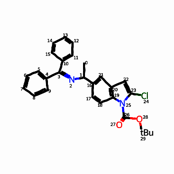 CC(N=C(c1ccccc1)c1ccccc1)c1ccc2c(c1)cc(Cl)n2C(=O)OC(C)(C)C